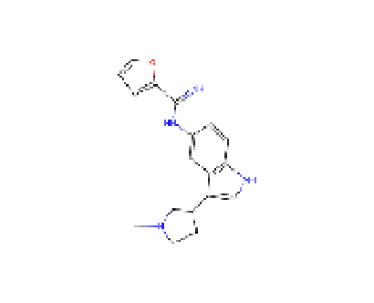 CN1CCC(c2c[nH]c3ccc(NC(=N)c4ccco4)cc23)C1